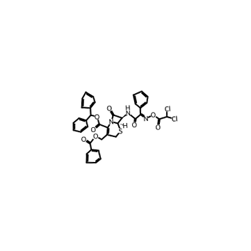 O=C(OC(c1ccccc1)c1ccccc1)C1=C(COC(=O)c2ccccc2)CS[C@@H]2[C@H](NC(=O)/C(=N/OC(=O)C(Cl)Cl)c3ccccc3)C(=O)N12